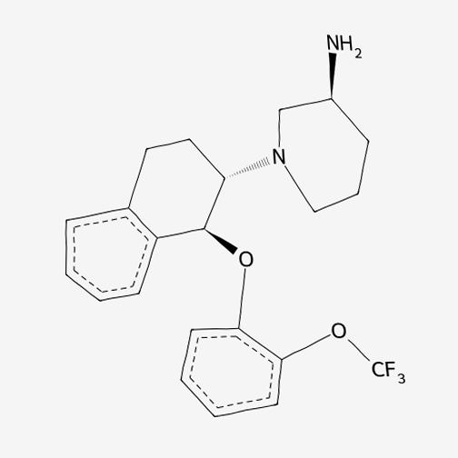 N[C@H]1CCCN([C@H]2CCc3ccccc3[C@@H]2Oc2ccccc2OC(F)(F)F)C1